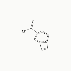 O=C(Cl)c1ccc2c(c1)C=C2